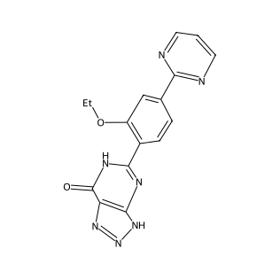 CCOc1cc(-c2ncccn2)ccc1-c1nc2[nH]nnc2c(=O)[nH]1